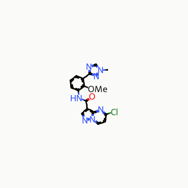 COc1c(NC(=O)c2cnn3ccc(Cl)nc23)cccc1-c1ncn(C)n1